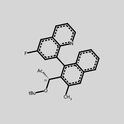 CC(=O)[C@@H](OC(C)(C)C)c1c(C)cc2ccccc2c1-c1cc(F)cc2cccnc12